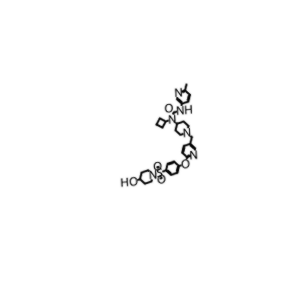 Cc1ccc(NC(=O)N(C2CCC2)C2CCN(Cc3ccc(Oc4ccc(S(=O)(=O)N5CCC(O)CC5)cc4)nc3)CC2)cn1